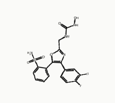 NS(=O)(=O)c1ccccc1-c1oc(CNC(=O)NO)nc1-c1ccc(F)c(Cl)c1